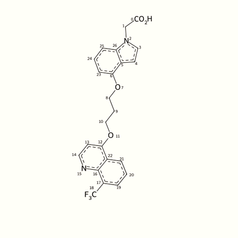 O=C(O)Cn1ccc2c(OCCCOc3ccnc4c(C(F)(F)F)cccc34)cccc21